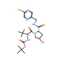 CC(C)(C)OC(=O)N[C@H](C(=O)N1C[C@H](O)C[C@H]1C(=O)NCc1cnc(Cl)cn1)C(C)(C)C